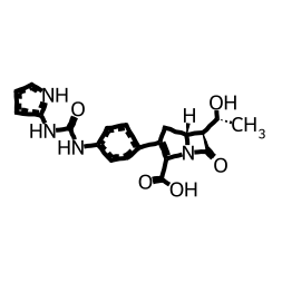 C[C@@H](O)[C@H]1C(=O)N2C(C(=O)O)=C(c3ccc(NC(=O)Nc4ccc[nH]4)cc3)C[C@H]12